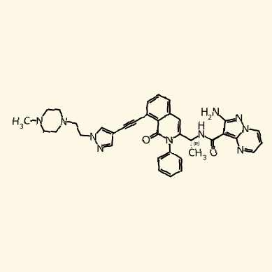 C[C@@H](NC(=O)c1c(N)nn2cccnc12)c1cc2cccc(C#Cc3cnn(CCN4CCN(C)CC4)c3)c2c(=O)n1-c1ccccc1